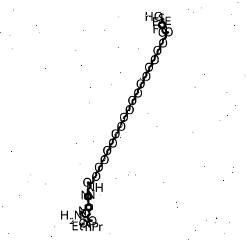 CCCN(OCC)C(=O)C1=Cc2ccc(-c3cnc(CNC(=O)CCOCCOCCOCCOCCOCCOCCOCCOCCOCCOCCOCCOCCOCCOCCOCCOCCOCCC(=O)Oc4c(F)c(F)c(SO)c(F)c4F)nc3)cc2N=C(N)C1